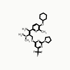 Cc1nc(/C(N)=C(\COc2cc(C(F)(F)F)nc(N3CCCC3)n2)N(C)N)ccc1OC1CCCCC1